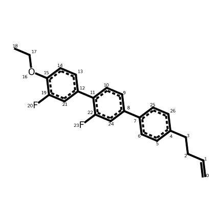 C=CCCc1ccc(-c2ccc(-c3ccc(OCC)c(F)c3)c(F)c2)cc1